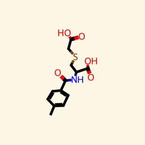 Cc1ccc(C(=O)NC(CSCC(=O)O)C(=O)O)cc1